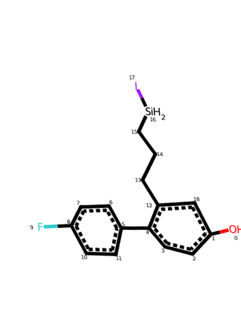 Oc1ccc(-c2ccc(F)cc2)c(CCC[SiH2]I)c1